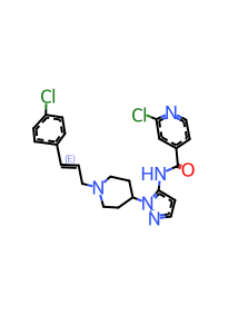 O=C(Nc1ccnn1C1CCN(C/C=C/c2ccc(Cl)cc2)CC1)c1ccnc(Cl)c1